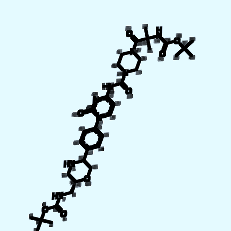 CC(C)(C)OC(=O)NC[C@H]1CNC(c2ccc(-n3ccc(NC(=O)N4CCN(C(=O)C(C)(C)NC(=O)OC(C)(C)C)CC4)nc3=O)cc2)CO1